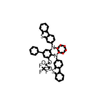 O=S(=O)(Oc1cc(-c2ccccc2)cc(N(c2ccccc2)c2ccc3c(c2)sc2ccccc23)c1N(c1ccccc1)c1ccc2c(c1)sc1ccccc12)C(F)(F)F